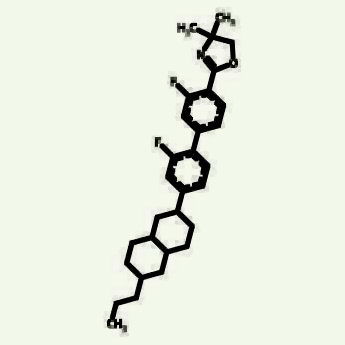 CCCC1CCC2CC(c3ccc(-c4ccc(C5=NC(C)(C)CO5)c(F)c4)c(F)c3)CCC2C1